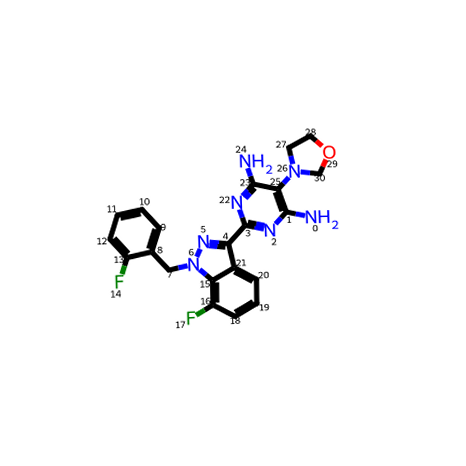 Nc1nc(-c2nn(Cc3ccccc3F)c3c(F)cccc23)nc(N)c1N1CCOC1